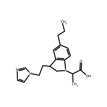 CCCc1ccc2c(c1)C(CCn1ccnc1)CN2C(C)C(=O)O